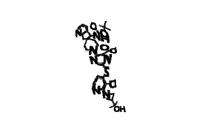 COC(=O)c1nc(Sc2ccnc(N3CC(C(C)(C)O)C3)c2Cl)cnc1N1CCC2(CC1)Cc1ncccc1[C@H]2NC(=O)OC(C)(C)C